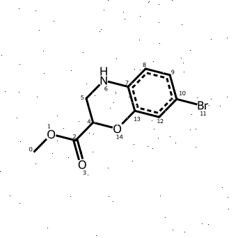 COC(=O)C1CNc2ccc(Br)cc2O1